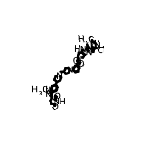 Cn1nc(N2CCC(=O)NC2=O)c2ccc(C3CCN(CC4CCN(c5cccc(S(=O)(=O)N6CCC(Nc7ncc8c(Cl)nn(C)c8n7)CC6)c5)CC4)CC3)cc21